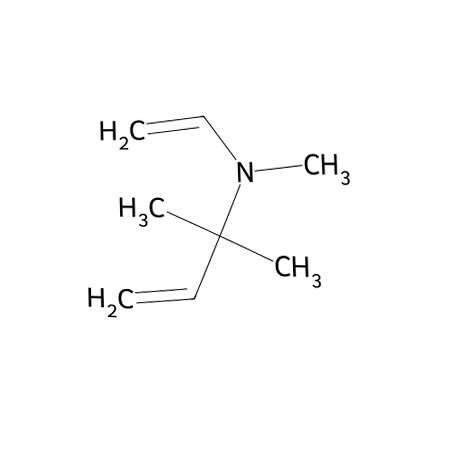 C=CN(C)C(C)(C)C=C